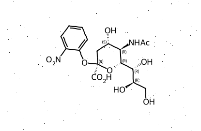 CC(=O)N[C@H]1[C@H]([C@H](O)[C@H](O)CO)O[C@](Oc2ccccc2[N+](=O)[O-])(C(=O)O)C[C@@H]1O